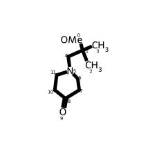 COC(C)(C)CN1CCC(=O)CC1